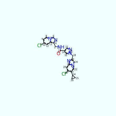 O=C(NCc1ncn2ccc(Cl)cc12)c1cnn(Cc2cn3cc(C4CC4)c(Cl)cc3n2)c1